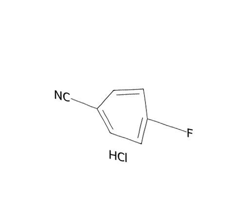 Cl.N#Cc1ccc(F)cc1